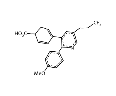 COc1ccc(-c2ncc(CCC(F)(F)F)cc2C2=CCC(C(=O)O)C=C2)cc1